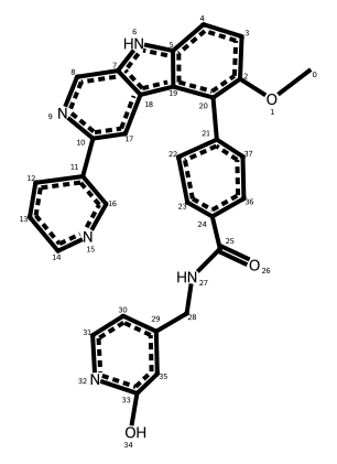 COc1ccc2[nH]c3cnc(-c4cccnc4)cc3c2c1-c1ccc(C(=O)NCc2ccnc(O)c2)cc1